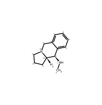 CN[C@@H]1c2ccccc2CN2CCC[C@@H]12